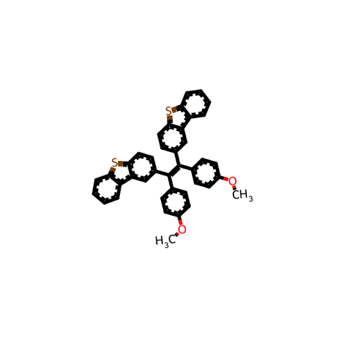 COc1ccc(C(=C(c2ccc(OC)cc2)c2ccc3sc4ccccc4c3c2)c2ccc3sc4ccccc4c3c2)cc1